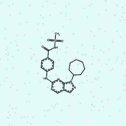 CS(=O)(=O)NC(=O)c1ccc(Nc2ncc3cnn(C4CCCCCC4)c3n2)cc1